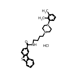 Cc1cccc(N2CCN(CCCCNC(=O)c3ccc4sc5ccccc5c4c3)CC2)c1C.Cl